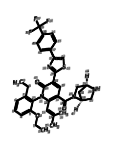 CCOc1cccc(CC)c1-n1c(C=C(C)C)c(C(=O)N2C[C@@H]3C[C@H]2CN3)cc(-c2nc(-c3ccc(C(F)(F)F)cc3)cs2)c1=O